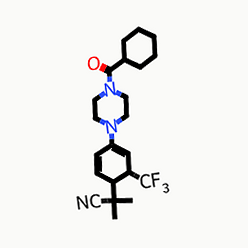 CC(C)(C#N)C1C=CC(N2CCN(C(=O)C3CCCCC3)CC2)=CC1C(F)(F)F